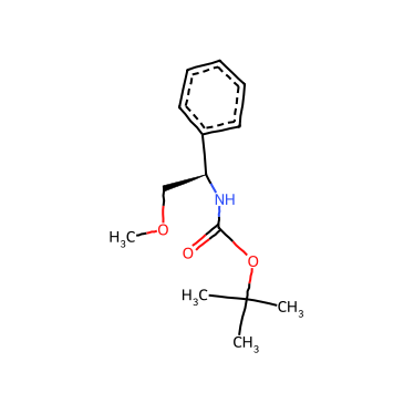 COC[C@H](NC(=O)OC(C)(C)C)c1ccccc1